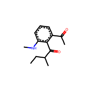 CCC(C)C(=O)c1c(NC)cccc1C(C)=O